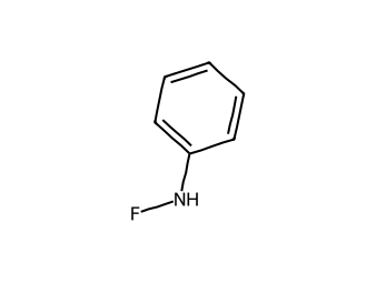 FNc1ccccc1